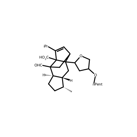 CCCCCOC1COC(C23C[C@@H]4[C@H](C)CC[C@H]4C4(C=O)CC2C=C(C(C)C)C34C(=O)O)C1